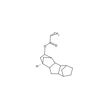 C=CC(=O)OC1C[C@H]2CC1C1C3C4CCC(C4)C3CC12